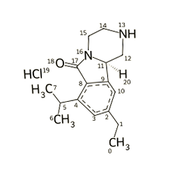 CCc1cc(C(C)C)c2c(c1)[C@@H]1CNCCN1C2=O.Cl